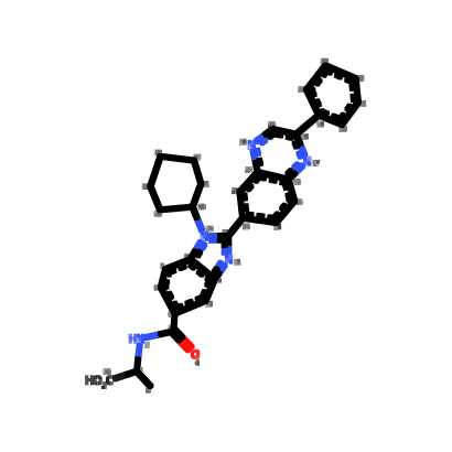 CC(NC(=O)c1ccc2c(c1)nc(-c1ccc3nc(-c4ccccc4)cnc3c1)n2C1CCCCC1)C(=O)O